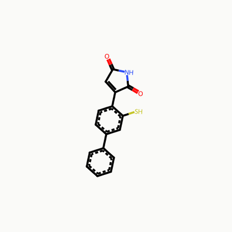 O=C1C=C(c2ccc(-c3ccccc3)cc2S)C(=O)N1